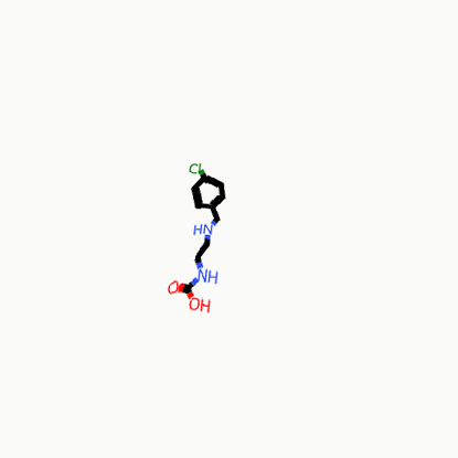 O=C(O)NCCNCc1ccc(Cl)cc1